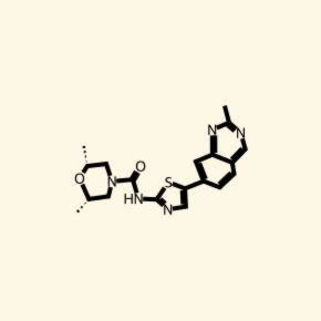 Cc1ncc2ccc(-c3cnc(NC(=O)N4C[C@@H](C)O[C@@H](C)C4)s3)cc2n1